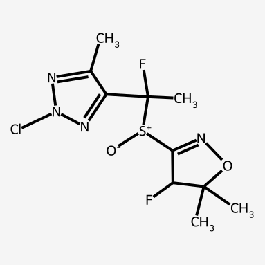 Cc1nn(Cl)nc1C(C)(F)[S+]([O-])C1=NOC(C)(C)C1F